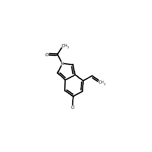 C=Cc1cc(Cl)cc2cn(C(C)=O)cc12